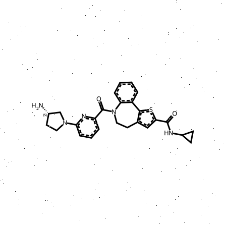 N[C@H]1CCN(c2cccc(C(=O)N3CCc4cc(C(=O)NC5CC5)sc4-c4ccccc43)n2)C1